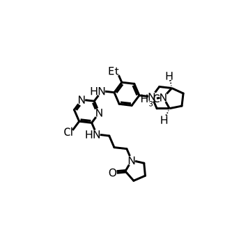 CCc1cc(N2C[C@H]3CC[C@@H](C2)N3C)ccc1Nc1ncc(Cl)c(NCCCN2CCCC2=O)n1